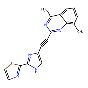 Cc1nc(C#Cc2c[nH]c(-c3nccs3)n2)nc2c(C)cccc12